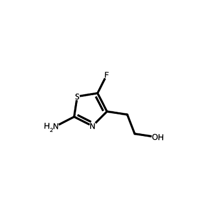 Nc1nc(CCO)c(F)s1